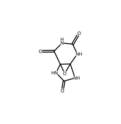 O=C1NC(=O)C23NC(=O)NC2(N1)O3